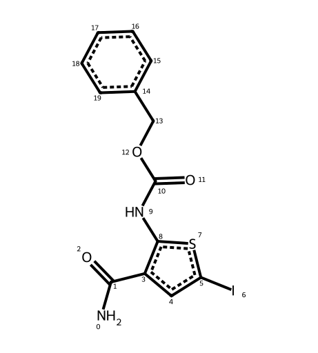 NC(=O)c1cc(I)sc1NC(=O)OCc1ccccc1